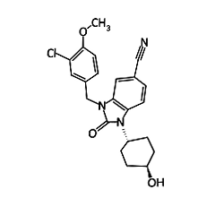 COc1ccc(Cn2c(=O)n([C@H]3CC[C@H](O)CC3)c3ccc(C#N)cc32)cc1Cl